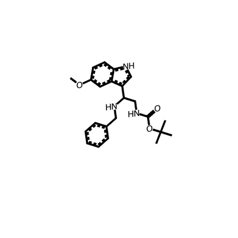 COc1ccc2[nH]cc(C(CNC(=O)OC(C)(C)C)NCc3ccccc3)c2c1